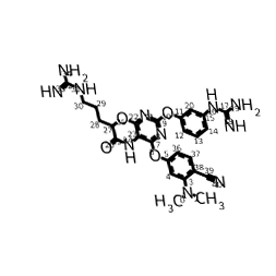 CN(C)c1cc(Oc2nc(Oc3cccc(NC(=N)N)c3)nc3c2NC(=O)C(CCCNC(=N)N)O3)ccc1C#N